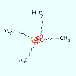 CCCCCCCCCOP(=O)(OCCCCCCCCC)OP(=O)(OCCCCCCCCC)OSCCCCCCCCC